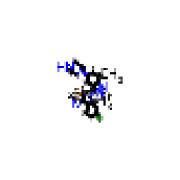 CCn1nc2c(C)cc(N3CCNCC3)cc2c1N(C)C1(C#N)SCN=C1c1ccc(F)cc1